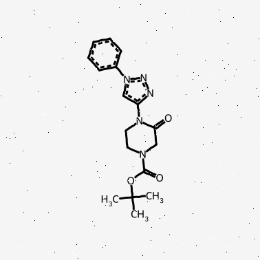 CC(C)(C)OC(=O)N1CCN(c2cn(-c3ccccc3)nn2)C(=O)C1